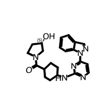 O=C(C1CCC(Nc2nccc(-n3ncc4ccccc43)n2)CC1)N1CC[C@H](O)C1